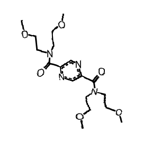 COCCN(CCOC)C(=O)c1cnc(C(=O)N(CCOC)CCOC)cn1